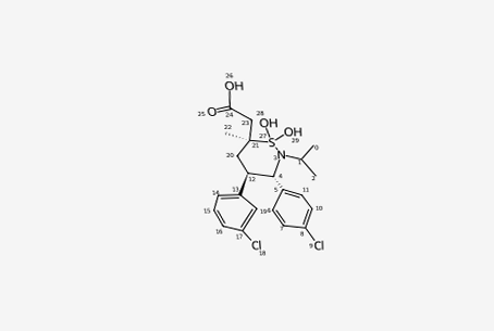 CC(C)N1[C@H](c2ccc(Cl)cc2)[C@@H](c2cccc(Cl)c2)C[C@@](C)(CC(=O)O)S1(O)O